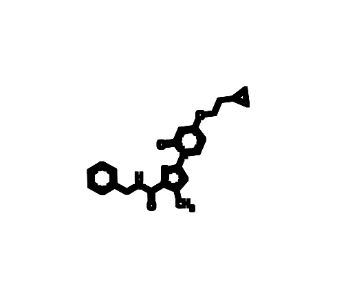 Cc1cc(-n2ccc(OCCC3CC3)cc2=O)sc1C(=O)NCc1ccccc1